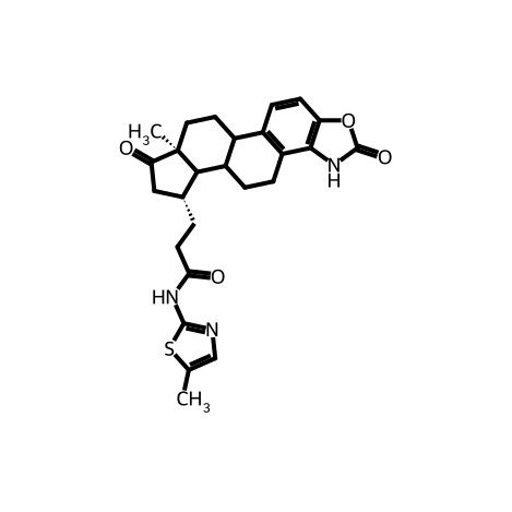 Cc1cnc(NC(=O)CC[C@@H]2CC(=O)[C@@]3(C)CCC4c5ccc6oc(=O)[nH]c6c5CCC4C23)s1